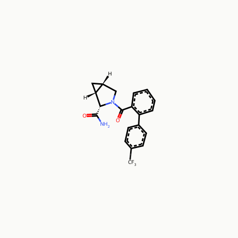 NC(=O)[C@@H]1[C@@H]2C[C@@H]2CN1C(=O)c1ccccc1-c1ccc(C(F)(F)F)cc1